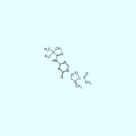 CC(=O)[C@H]1O[C@@H](n2cnc(NC(=O)C(C)(C)C)nc2=O)C[C@@H]1C